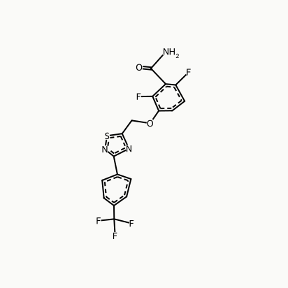 NC(=O)c1c(F)ccc(OCc2nc(-c3ccc(C(F)(F)F)cc3)ns2)c1F